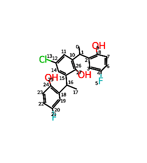 CC(c1cc(F)ccc1O)c1cc(Cl)cc(C(C)c2cc(F)ccc2O)c1O